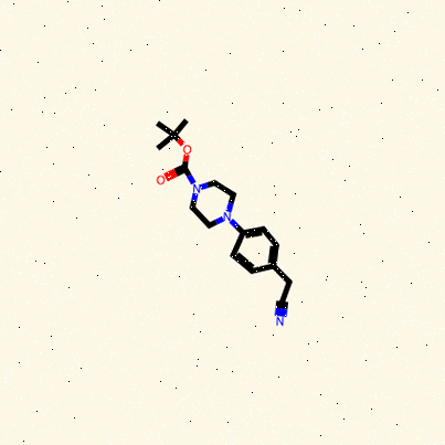 CC(C)(C)OC(=O)N1CCN(c2ccc(CC#N)cc2)CC1